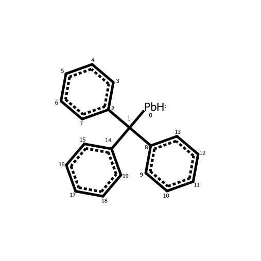 [PbH][C](c1ccccc1)(c1ccccc1)c1ccccc1